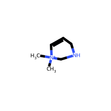 C[N+]1(C)C=CCNC1